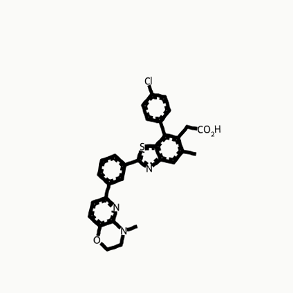 Cc1cc2nc(-c3cccc(-c4ccc5c(n4)N(C)CCO5)c3)sc2c(-c2ccc(Cl)cc2)c1CC(=O)O